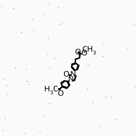 COC(=O)CCc1ccc(N2CCN(c3ccc(C(C)=O)cc3)C2=O)cc1